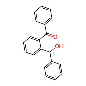 O=C(c1ccccc1)c1ccccc1C(O)c1ccccc1